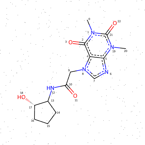 Cn1c(=O)c2c(ncn2CC(=O)NC2CCC[C@@H]2O)n(C)c1=O